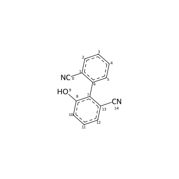 N#Cc1ccccc1-c1c(O)cccc1C#N